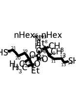 CCC1(C)O[B-]2(OC(C)(CC)C(C)(CCCS)O2)OC1(C)CCCS.CCCCCC[NH2+]CCCCCC